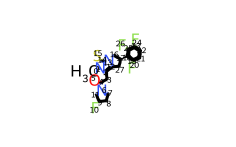 Cn1c(CC(=O)N2CC[C@@H](F)C2)c2n(c1=S)C[C@@H](c1c(F)ccc(F)c1F)C2